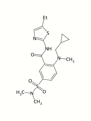 CCc1cnc(NC(=O)c2cc(S(=O)(=O)N(C)C)ccc2N(C)CC2CC2)s1